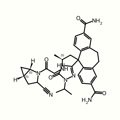 CC(C)n1nc(C2(C[C@H](C)NCC(=O)N3C(C#N)C[C@@H]4C[C@@H]43)c3ccc(C(N)=O)cc3CCc3cc(C(N)=O)ccc32)[nH]c1=O